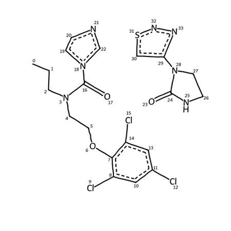 CCCN(CCOc1c(Cl)cc(Cl)cc1Cl)C(=O)n1ccnc1.O=C1NCCN1c1csnn1